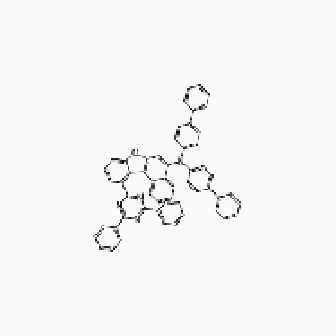 c1ccc(-c2ccc(N(c3ccc(-c4ccccc4)cc3)c3cc4oc5cccc(-c6nc(-c7ccccc7)nc(-c7ccccc7)n6)c5c4c4ccccc34)cc2)cc1